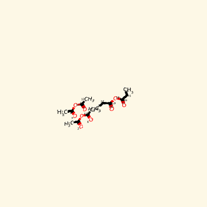 CC(=O)OC(C)=O.CC(=O)OC(C)=O.CCC(=O)OC(=O)CC